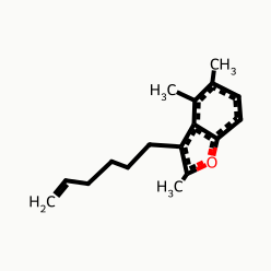 C=CCCCCc1c(C)oc2ccc(C)c(C)c12